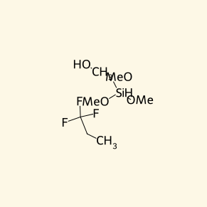 CCC(F)(F)F.CO.CO[SiH](OC)OC